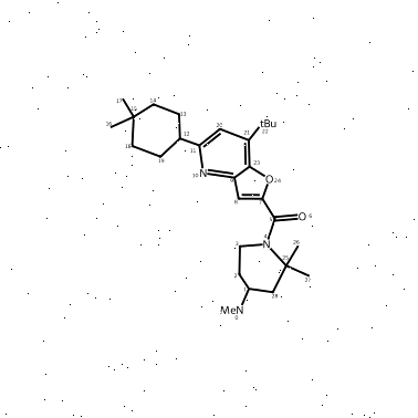 CNC1CCN(C(=O)c2cc3nc(C4CCC(C)(C)CC4)cc(C(C)(C)C)c3o2)C(C)(C)C1